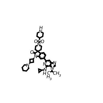 CC(C)n1cnc2cc(-c3ccc4c(c3)N(C3CC(N5CCCCC5)C3)C(=O)C43CCN(S(=O)(=O)C4CCNCC4)CC3)nc(NC3CC3)c21